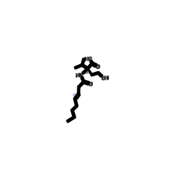 CCCC/C=C/CC(=O)N[C@@](CCO)(C(=O)O)C(C)C